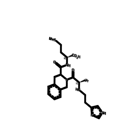 CSCC[C@@H](NC(=O)C1Cc2ccccc2CN1C(=O)[C@@H](NCCc1c[nH]cn1)C(C)C)C(=O)O